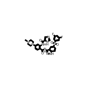 CN1CCN(c2ccc(C(=O)Nc3n[nH]c4ccc(S(=O)(=O)c5cc(F)cc(F)c5)cc34)c(NC(=O)c3cnc[nH]3)c2)CC1